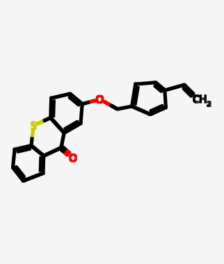 C=Cc1ccc(COc2ccc3sc4ccccc4c(=O)c3c2)cc1